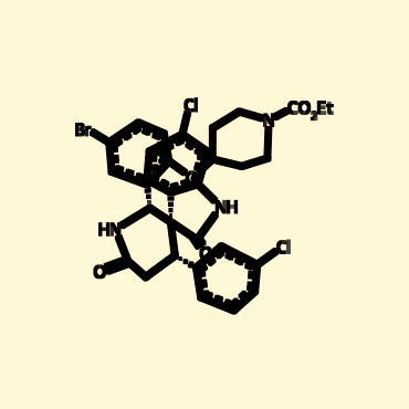 CCOC(=O)N1CCC(Oc2ccc(Br)cc2[C@H]2NC(=O)C[C@@H](c3cccc(Cl)c3)[C@]23C(=O)Nc2cc(Cl)ccc23)CC1